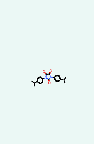 CC(C)c1ccc(N2C(=O)C(=O)N(c3ccc(C(C)C)cc3)C2=O)cc1